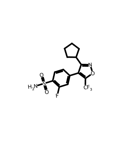 NS(=O)(=O)c1ccc(-c2c(C3CCCC3)noc2C(F)(F)F)cc1F